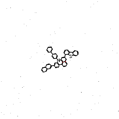 c1ccc(-c2ccc(N(c3cccc(-c4cccc5c4sc4ccccc45)c3)c3cc(-c4ccc5ccccc5c4)ccc3-c3ccccc3)cc2)cc1